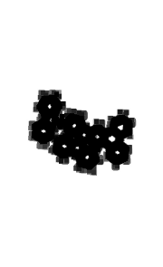 C1=CC2c3ccccc3-c3cc4c(cc3C2C=C1)-c1ccc(-n2c3ccccc3c3ccccc32)cc1C41c2ccccc2-c2ccccc21